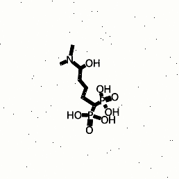 CN(C)C(O)CCCC(P(=O)(O)O)P(=O)(O)O